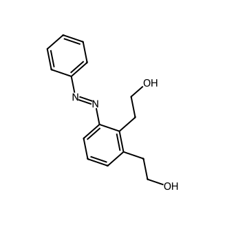 OCCc1cccc(N=Nc2ccccc2)c1CCO